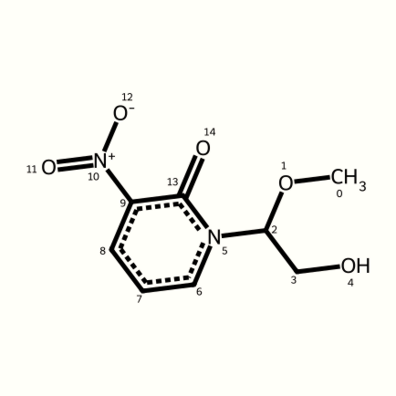 COC(CO)n1cccc([N+](=O)[O-])c1=O